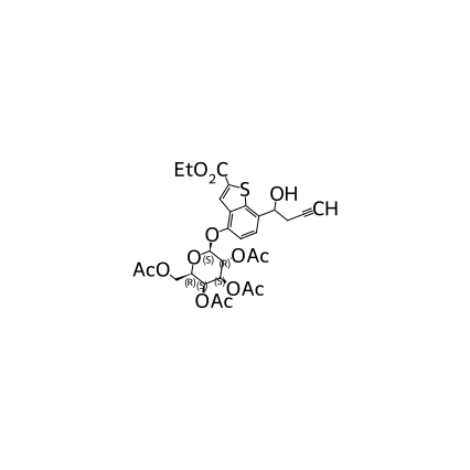 C#CCC(O)c1ccc(O[C@@H]2O[C@H](COC(C)=O)[C@H](OC(C)=O)[C@H](OC(C)=O)[C@H]2OC(C)=O)c2cc(C(=O)OCC)sc12